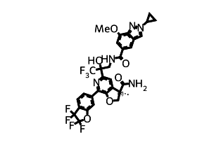 COc1cc(C(=O)NCC(O)(c2cc3c(c(-c4ccc5c(c4)OC(F)(F)C5(F)F)n2)OC[C@]3(C)C(N)=O)C(F)(F)F)cc2cn(C3CC3)nc12